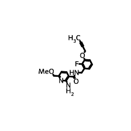 CC#CCOc1cccc(CNC(=O)c2ccc(COC)nc2N)c1F